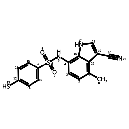 Cc1ccc(NS(=O)(=O)c2ccc(S)cc2)c2[nH]cc(C#N)c12